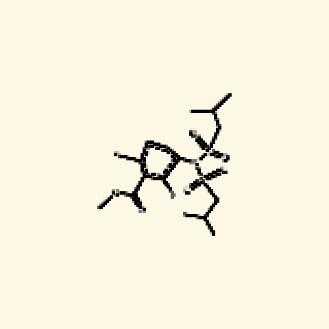 COC(=O)c1c(F)ccc(N(S(=O)(=O)CC(C)C)S(=O)(=O)CC(C)C)c1F